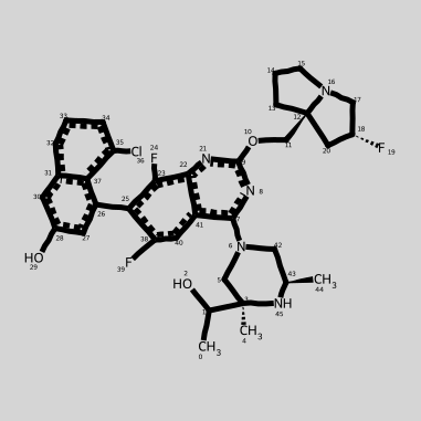 CC(O)[C@@]1(C)CN(c2nc(OC[C@@]34CCCN3C[C@H](F)C4)nc3c(F)c(-c4cc(O)cc5cccc(Cl)c45)c(F)cc23)C[C@@H](C)N1